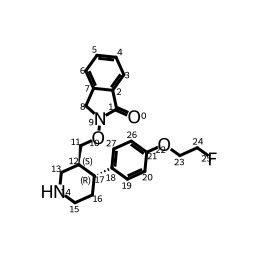 O=C1c2ccccc2CN1OC[C@@H]1CNCC[C@H]1c1ccc(OCCF)cc1